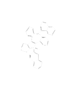 O=P1(c2ccc3ccccc3c2)C2=C(C=CCC2)C2=C1c1ccccc1N(c1cccc3ccccc13)c1ccccc12